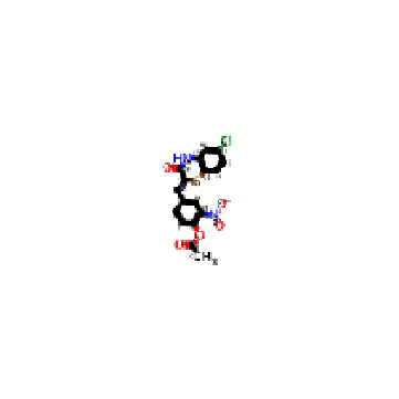 CC(=O)Oc1ccc(/C=C2\Sc3ccc(Cl)cc3NC2=O)cc1[N+](=O)[O-]